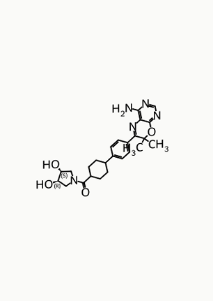 CC1(C)Oc2ncnc(N)c2N=C1c1ccc(C2CCC(C(=O)N3C[C@@H](O)[C@@H](O)C3)CC2)cc1